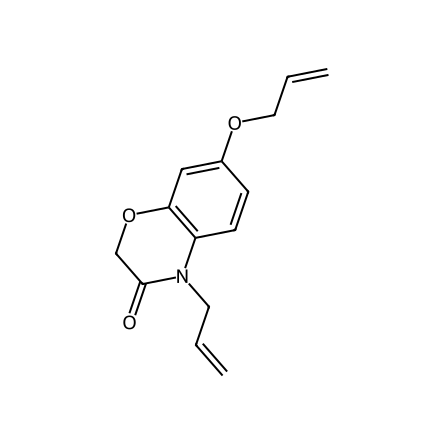 C=CCOc1ccc2c(c1)OCC(=O)N2CC=C